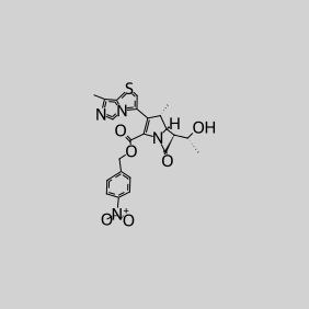 Cc1ncn2c(C3=C(C(=O)OCc4ccc([N+](=O)[O-])cc4)N4C(=O)[C@H]([C@@H](C)O)[C@H]4[C@H]3C)csc12